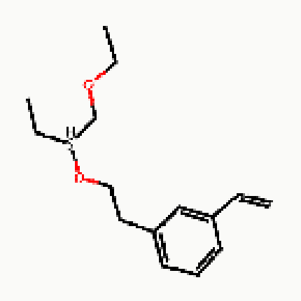 C=Cc1cccc(CCO[SiH](CC)COCC)c1